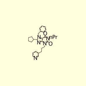 CCCn1c(=O)c2c(nc(C3CCCC3)n2Cc2ccccc2)n(CCCc2cccnc2)c1=O